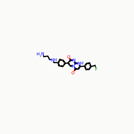 NCCCNCc1ccc(-c2cn3c(=O)cc(-c4ccc(CF)cc4)[nH]c3nc2=O)cc1